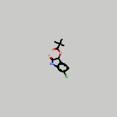 CC(C)(C)C(=O)OC1C(=O)Nc2cc(Cl)ccc21